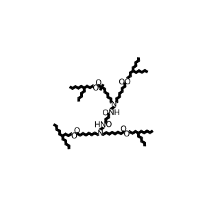 CCCCCC(CCCCC)CCCOC(=O)CCCCCCCN(CCCCCCCC(=O)OCCCC(CCCCC)CCCCC)CCNC(=O)CCC(=O)NCCN(CCCCCCCC(=O)OCCCC(CCCCC)CCCCC)CCCCCCC(C)(C)C(=O)OCCCC(CCCCC)CCCCC